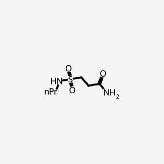 CCCNS(=O)(=O)CCC(N)=O